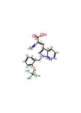 N#C/C(=C\c1cn(Cc2ccccc2SC(F)(F)F)c2ncccc12)C(=O)O